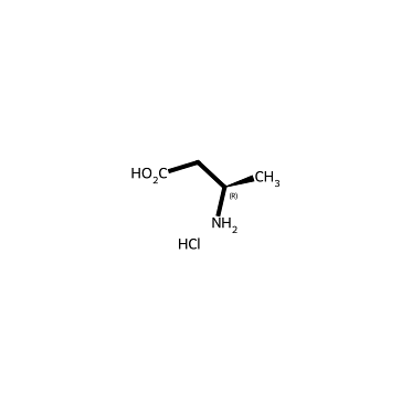 C[C@@H](N)CC(=O)O.Cl